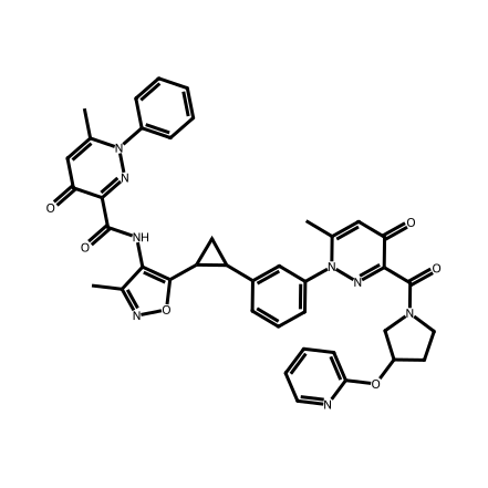 Cc1noc(C2CC2c2cccc(-n3nc(C(=O)N4CCC(Oc5ccccn5)C4)c(=O)cc3C)c2)c1NC(=O)c1nn(-c2ccccc2)c(C)cc1=O